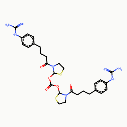 N=C(N)Nc1ccc(CCCC(=O)N2CCSC2OC(=O)OC2SCCN2C(=O)CCCc2ccc(NC(=N)N)cc2)cc1